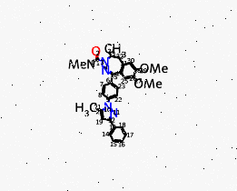 CNC(=O)N1N=C(c2ccc(-n3nc(-c4ccccc4)cc3C)cc2)c2cc(OC)c(OC)cc2C[C@@H]1C